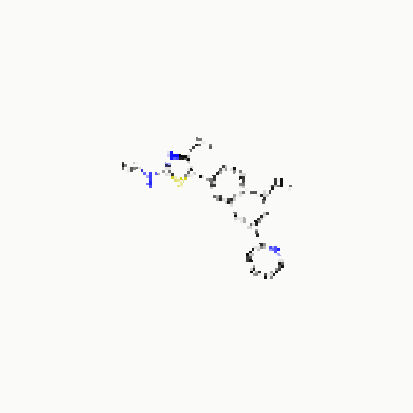 C=C(/C=C/c1ccccn1)c1ccc(-c2sc(NC)nc2C)cc1C